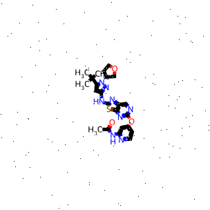 CC(=O)Nc1cc(Oc2ncc3nc(Nc4cc(C(C)(C)C)n([C@@H]5CCOC5)n4)sc3n2)ccn1